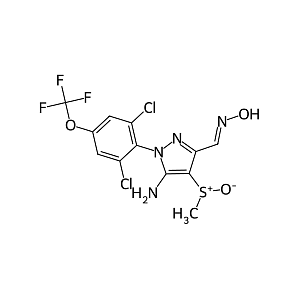 C[S+]([O-])c1c(C=NO)nn(-c2c(Cl)cc(OC(F)(F)F)cc2Cl)c1N